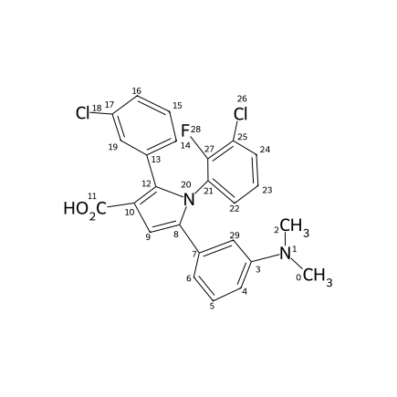 CN(C)c1cccc(-c2cc(C(=O)O)c(-c3cccc(Cl)c3)n2-c2cccc(Cl)c2F)c1